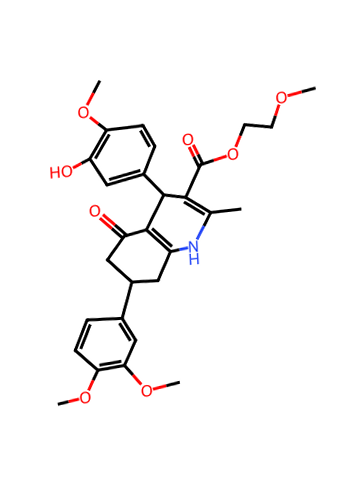 COCCOC(=O)C1=C(C)NC2=C(C(=O)CC(c3ccc(OC)c(OC)c3)C2)C1c1ccc(OC)c(O)c1